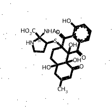 CC(=O)N[C@]1(C(=O)O)NCCC1SC12CCC3(O)CC(C)=CC(=O)C3(O)C1(O)C(=O)c1cccc(O)c1C2=O